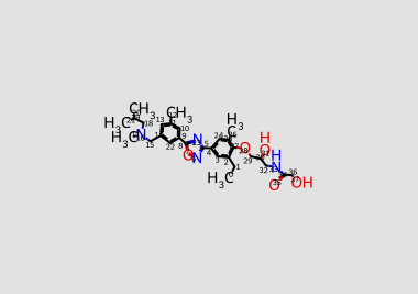 CCc1cc(-c2noc(-c3cc(C)cc(CN(C)CC(C)C)c3)n2)cc(C)c1OCC(O)CNC(=O)CO